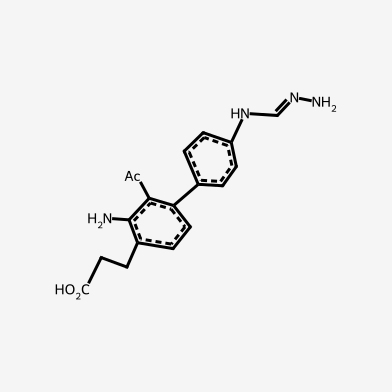 CC(=O)c1c(-c2ccc(NC=NN)cc2)ccc(CCC(=O)O)c1N